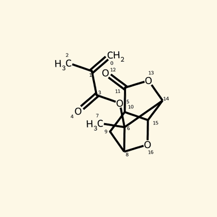 C=C(C)C(=O)OC1(C)C2CC3C(=O)OC1C3O2